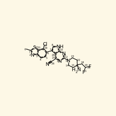 Cc1nc2ccc(-c3c[nH]c4nc(N5CCC(N)(CC(F)F)CC5)nc(C#N)c34)c(Cl)c2s1